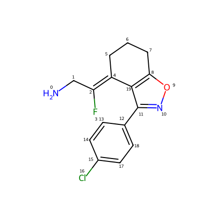 NC/C(F)=C1\CCCc2onc(-c3ccc(Cl)cc3)c21